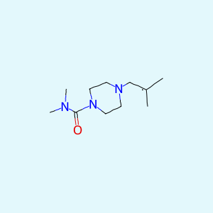 C[C](C)CN1CCN(C(=O)N(C)C)CC1